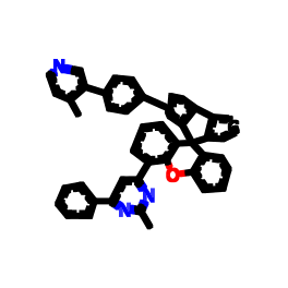 Cc1nc(-c2ccccc2)cc(-c2cccc3c2Oc2ccccc2C32c3ccccc3-c3ccc(-c4ccc(-c5cnccc5C)cc4)cc32)n1